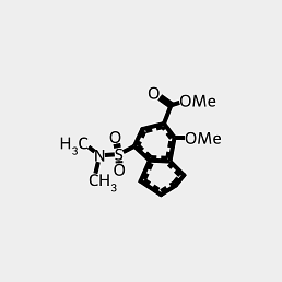 COC(=O)c1cc(S(=O)(=O)N(C)C)c2ccccc2c1OC